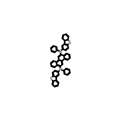 C1=CC2Sc3ccc(N(c4ccccc4)c4cc5c6ccccc6c(N(c6ccccc6)c6ccc7sc8ccccc8c7c6)cc5c5ccccc45)cc3C2C=C1